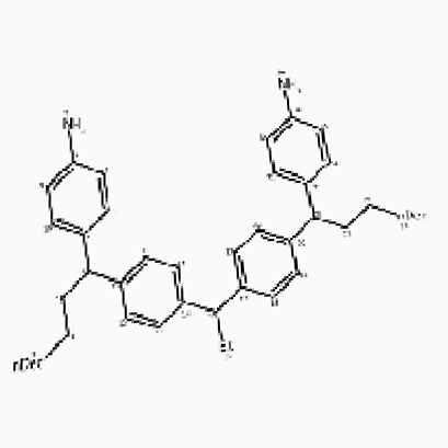 CCCCCCCCCCCCC(c1ccc(N)cc1)c1ccc(C(CC)c2ccc(C(CCCCCCCCCCCC)c3ccc(N)cc3)cc2)cc1